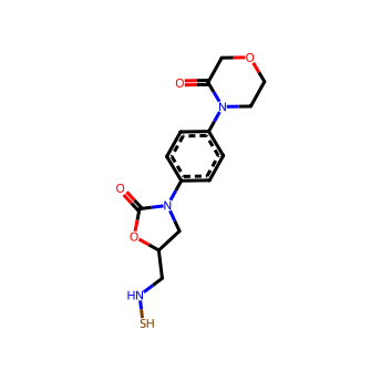 O=C1COCCN1c1ccc(N2CC(CNS)OC2=O)cc1